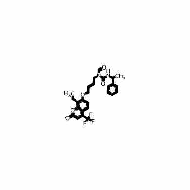 CCc1c(OCCCCN(C=O)C(=O)NC(C)c2ccccc2)ccc2c(C(F)(F)F)cc(=O)oc12